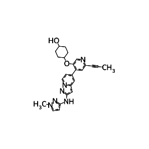 CC#Cc1cc(-c2ccn3nc(Nc4ccn(C)n4)cc3c2)c(OC2CCC(O)CC2)cn1